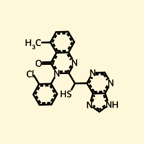 Cc1cccc2nc(C(S)c3ncnc4[nH]cnc34)n(-c3ccccc3Cl)c(=O)c12